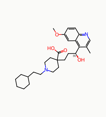 COc1ccc2ncc(C)c([C@@H](O)CCC3(C(=O)O)CCN(CCC4CCCCC4)CC3)c2c1